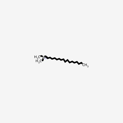 CCCCCCCCCCCCCCCC/C=C/N(CC)CC